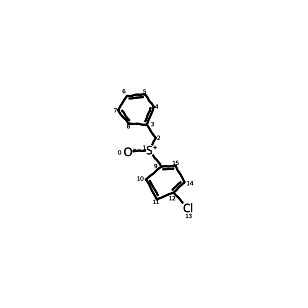 [O-][S+](Cc1ccccc1)c1ccc(Cl)cc1